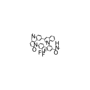 C=Nc1ccc(-c2cnc3ccccc3c2)cc1-c1c(C)ccc(=O)n1-c1ccc(-c2ccc(C(=O)NC)cc2)c(C(F)(F)F)c1